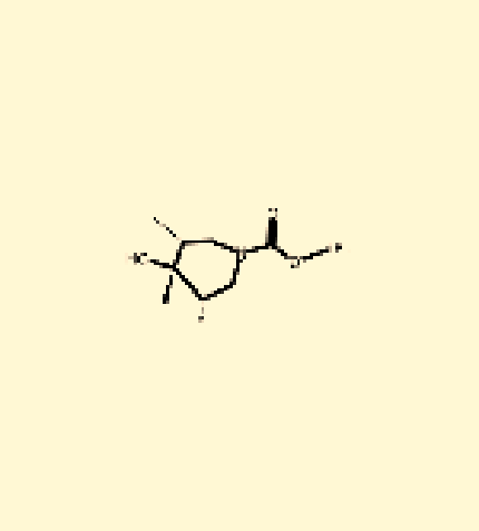 C[C@@H]1CN(C(=O)OC(C)(C)C)C[C@H](C)[C@]1(C)O